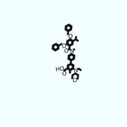 CCN(c1cc(-c2ccc(N(C)C(=O)c3cc(C(C)C)c(OCc4ccccc4)cc3OCc3ccccc3)cc2)cc(C(=O)O)c1C)C1CCOCC1